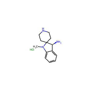 CN1c2ccccc2[C@H](N)C12CCNCC2.Cl